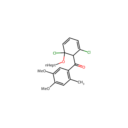 CCCCCCCOC1(Cl)C=CC=C(Cl)C1C(=O)c1cc(OC)c(OC)cc1C